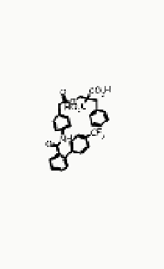 O=C(Cc1ccc(NC(=O)c2ccccc2-c2ccc(C(F)(F)F)cc2)cc1)OCC(Cc1ccccc1)(C(=O)O)C(=O)O